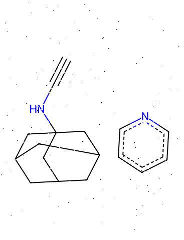 C#CNC12CC3CC(CC(C3)C1)C2.c1ccncc1